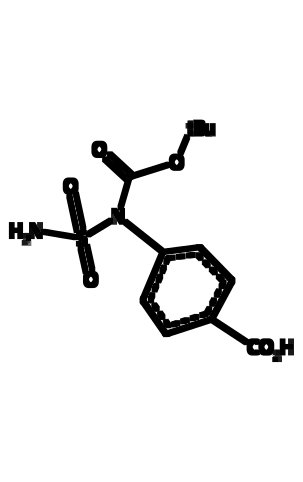 CC(C)(C)OC(=O)N(c1ccc(C(=O)O)cc1)S(N)(=O)=O